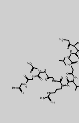 CC(C)C[C@H](NC(=O)[C@@H]1CCCN1C(=O)CN)C(=O)NCC(=O)N[C@H](C(=O)N[C@@H](CCCNC(=N)N)C(=O)NCC(=O)N[C@@H](CC(=O)O)C(=O)NCC(=O)NCC(=O)O)C(C)C